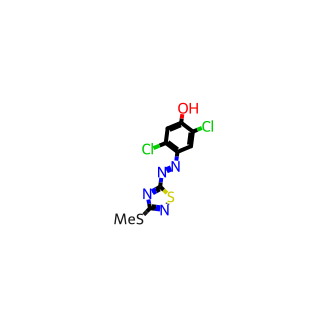 CSc1nsc(/N=N/c2cc(Cl)c(O)cc2Cl)n1